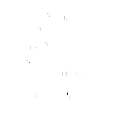 C/C(=C\CC[C@H](C)CS(=N)(=O)CC1CCC(N(C)c2ncnc3[nH]ccc23)CC1)CC#N